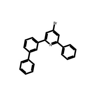 Brc1cc(-c2ccccc2)nc(-c2cccc(-c3ccccc3)c2)c1